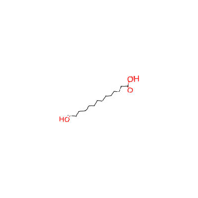 O=C(O)CCCCCCCCCCCC[CH]O